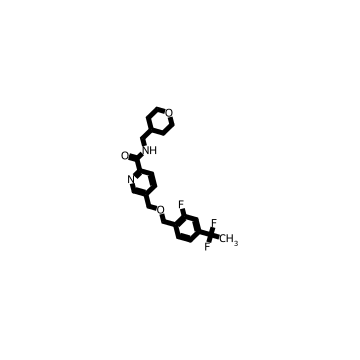 CC(F)(F)c1ccc(COCc2ccc(C(=O)NCC3CCOCC3)nc2)c(F)c1